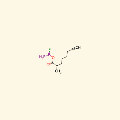 C#CCCCC[C@H](C)C(=O)OP(F)P